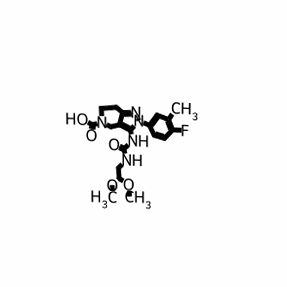 COC(CNC(=O)Nc1c2c(nn1-c1ccc(F)c(C)c1)CCN(C(=O)O)C2)OC